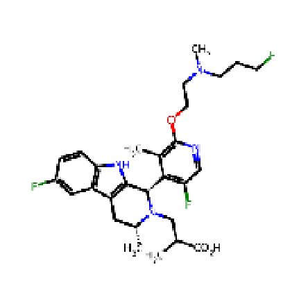 Cc1c(OCCN(C)CCCF)ncc(F)c1[C@@H]1c2[nH]c3ccc(F)cc3c2C[C@@H](C)N1CC(C)C(=O)O